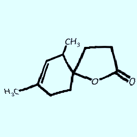 CC1=CC(C)C2(CCC(=O)O2)CC1